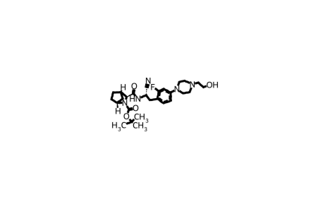 CC(C)(C)OC(=O)N1[C@@H]2CC[C@@H](C2)[C@H]1C(=O)N[C@H](C#N)Cc1ccc(N2CCN(CCO)CC2)cc1F